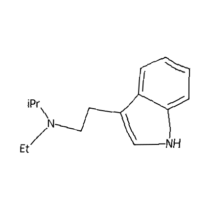 CCN(CCc1c[nH]c2ccccc12)C(C)C